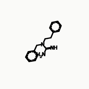 N=C(N)N(CCc1ccccc1)Cc1ccccc1